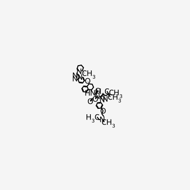 CCN(C)CCOc1cccc(-n2nc(C(C)(C)C)cc2N(OC=O)C(=O)N[C@H]2CC[C@@H](Oc3ccc4nnc(N5CCCC[C@@H]5C)n4c3)c3ccccc32)c1